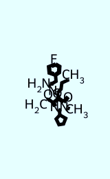 C=C(O/N=C(\N)Cc1ccc(F)cc1)c1nc(C2CCCC2)n(C)c(=O)c1OCCCC